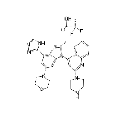 Cc1nc2c(-c3nnc[nH]3)cc(N3CCOCC3)cc2n1-c1cc(N2CCNCC2)nc2ccccc12.O=C(O)C(F)(F)F